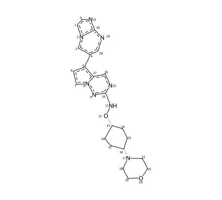 c1cn2cc(-c3ccn4nc(NO[C@H]5CC[C@@H](N6CCOCC6)CC5)ncc34)cnc2n1